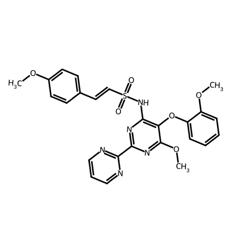 COc1ccc(C=CS(=O)(=O)Nc2nc(-c3ncccn3)nc(OC)c2Oc2ccccc2OC)cc1